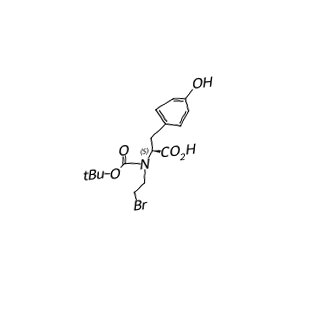 CC(C)(C)OC(=O)N(CCBr)[C@@H](Cc1ccc(O)cc1)C(=O)O